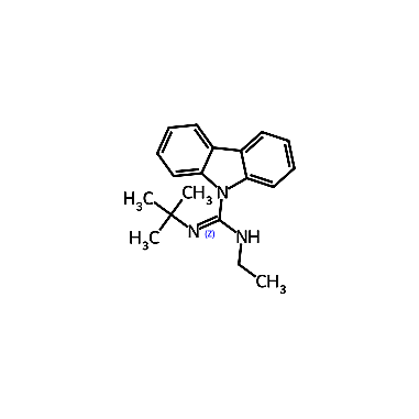 CCN/C(=N/C(C)(C)C)n1c2ccccc2c2ccccc21